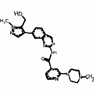 CN1CCN(c2cc(C(=O)Nc3ncc4ccc(-c5cnn(C)c5CO)cc4n3)ccn2)CC1